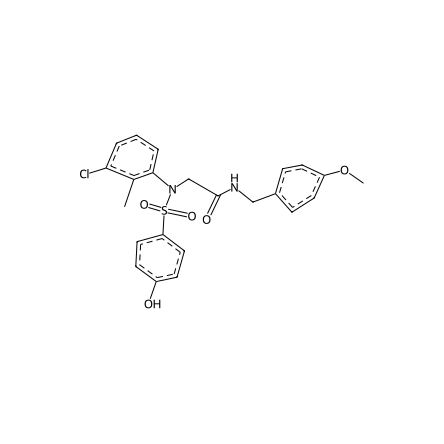 COc1ccc(CNC(=O)CN(c2cccc(Cl)c2C)S(=O)(=O)c2ccc(O)cc2)cc1